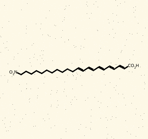 O=C(O)C=CC=CC=CC=CC=CCCCCCCCCCCC[N+](=O)[O-]